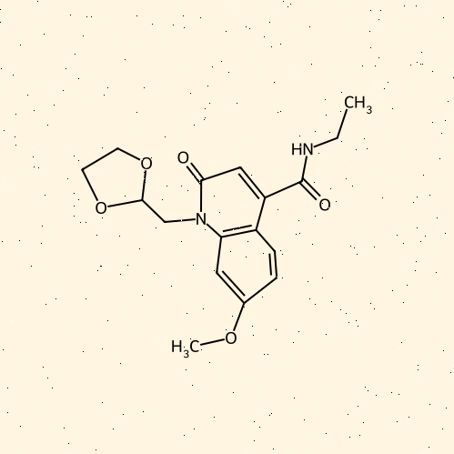 CCNC(=O)c1cc(=O)n(CC2OCCO2)c2cc(OC)ccc12